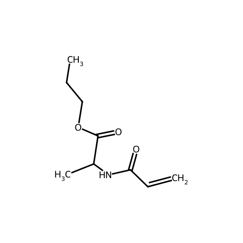 C=CC(=O)NC(C)C(=O)OCCC